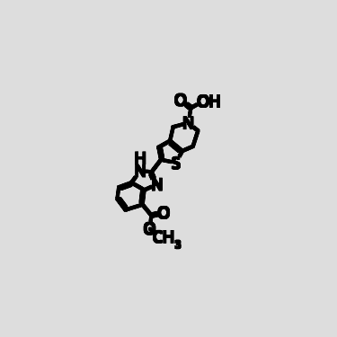 COC(=O)c1cccc2[nH]c(-c3cc4c(s3)CCN(C(=O)O)C4)nc12